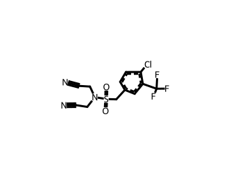 N#CCN(CC#N)S(=O)(=O)Cc1ccc(Cl)c(C(F)(F)F)c1